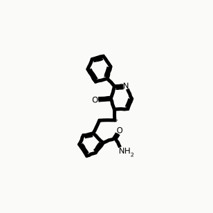 NC(=O)c1ccccc1C[CH]C1C=CN=C(c2ccccc2)C1=O